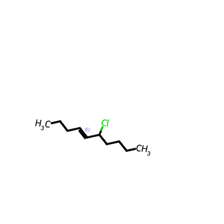 CCC/C=C/C(Cl)CCCC